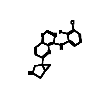 Fc1c(Cl)cccc1Nc1ncnc2ccc(C34CNCC3C4)nc12